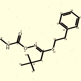 CNC(=O)ON=C(CC(C)(C)C)SCCc1ccccc1